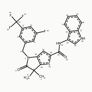 CC1(C)C(=O)N(Cc2cc(F)cc(C(F)(F)F)c2)c2cc(C(=O)Nc3c[nH]c4ccccc34)sc21